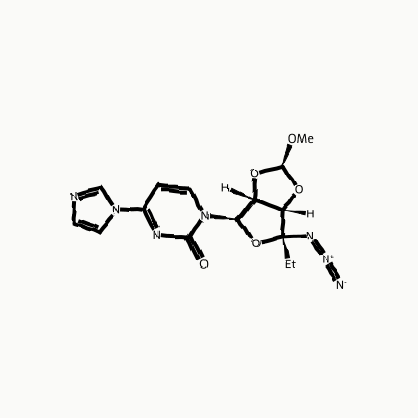 CC[C@@]1(N=[N+]=[N-])O[C@@H](n2ccc(-n3ccnc3)nc2=O)[C@@H]2O[C@@H](OC)O[C@@H]21